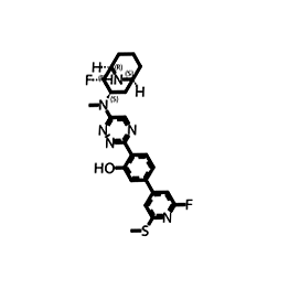 CSc1cc(-c2ccc(-c3ncc(N(C)[C@H]4C[C@@H]5CCC[C@@H](N5)[C@H]4F)nn3)c(O)c2)cc(F)n1